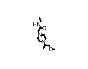 CCNC(=O)CN1CCN(C(C)COC)CC1